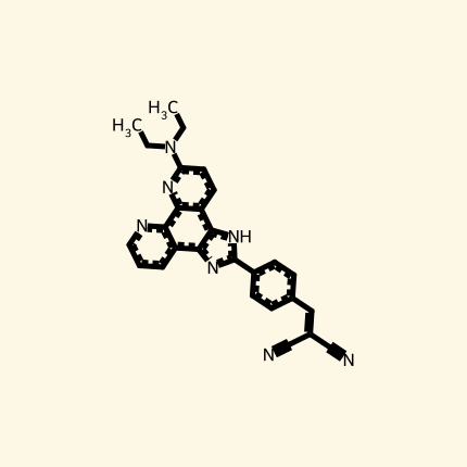 CCN(CC)c1ccc2c(n1)c1ncccc1c1nc(-c3ccc(C=C(C#N)C#N)cc3)[nH]c21